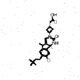 CC(C)C1=CN([C@H]2C[C@H](CC(=O)O)C2)C(=O)N[C@@]1(C)c1ccc(CCC(C)(C)C)c(Cl)c1